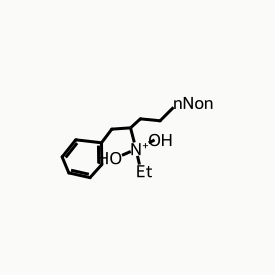 CCCCCCCCCCCC(Cc1ccccc1)[N+](O)(O)CC